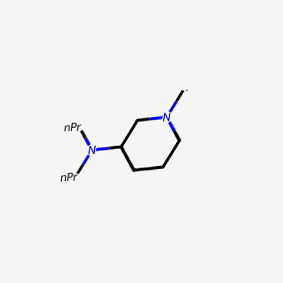 [CH2]N1CCCC(N(CCC)CCC)C1